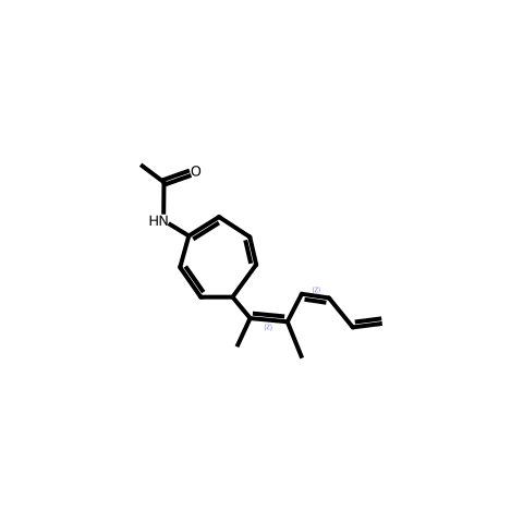 C=C/C=C\C(C)=C(\C)C1C=CC=C(NC(C)=O)C=C1